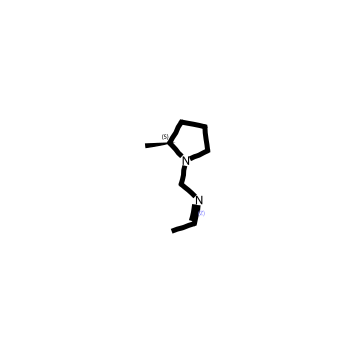 C/C=N\CN1CCC[C@@H]1C